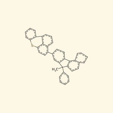 CC1(c2ccccc2)c2cc(-c3ccc4c5c(cccc35)-c3ccccc3S4)ccc2-c2c1ccc1ccccc21